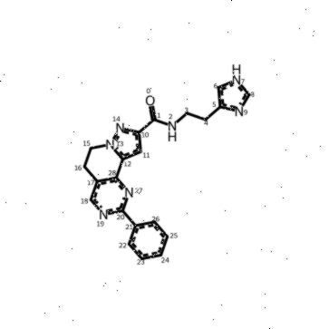 O=C(NCCc1c[nH]cn1)c1cc2n(n1)CCc1cnc(-c3ccccc3)nc1-2